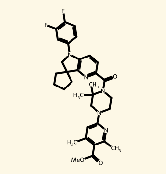 COC(=O)c1c(C)cc(N2CCN(C(=O)c3ccc4c(n3)C3(CCCC3)CN4c3ccc(F)c(F)c3)C(C)(C)C2)nc1C